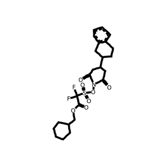 O=C1CC(C2CCc3ccccc3C2)CC(=O)N1OS(=O)(=O)C(F)(F)C(=O)OCC1CCCCC1